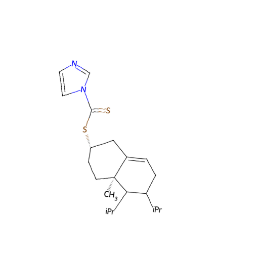 CC(C)C1CC=C2C[C@@H](SC(=S)n3ccnc3)CC[C@]2(C)C1C(C)C